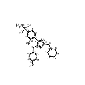 NS(=O)(=O)c1ccc(-n2nc(CN3CC=CCC3)nc2Cc2ccc(F)cc2)c(F)c1